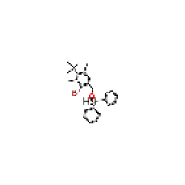 Cc1cc(CO[SiH](c2ccccc2)c2ccccc2)c(Br)c(C)c1C(C)(C)C